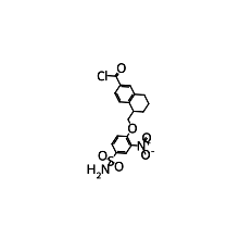 NS(=O)(=O)c1ccc(OCC2CCCc3cc(C(=O)Cl)ccc32)c([N+](=O)[O-])c1